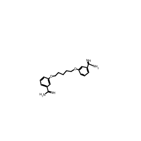 N=C(N)c1cccc(OCCCCCOc2cccc(C(=N)N)c2)c1